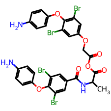 CC(NC(=O)c1cc(Br)c(Oc2ccc(N)cc2)c(Br)c1)C(=O)OC(=O)COc1cc(Br)c(Oc2ccc(N)cc2)c(Br)c1